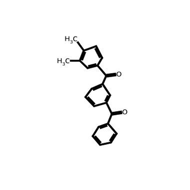 Cc1ccc(C(=O)c2cccc(C(=O)c3ccccc3)c2)cc1C